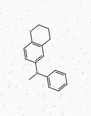 CN(c1ccccc1)c1ccc2c(c1)CCCC2